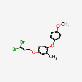 COc1ccc(Oc2ccc(OCC=C(Br)Br)cc2C)cc1